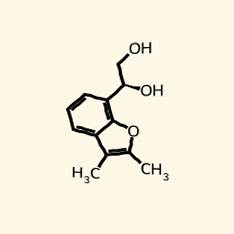 Cc1oc2c([C@H](O)CO)cccc2c1C